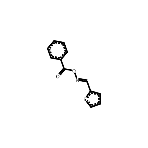 O=C(O/N=C/c1cccs1)c1ccccc1